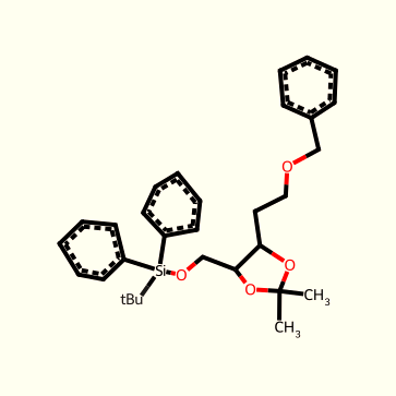 CC1(C)OC(CCOCc2ccccc2)C(CO[Si](c2ccccc2)(c2ccccc2)C(C)(C)C)O1